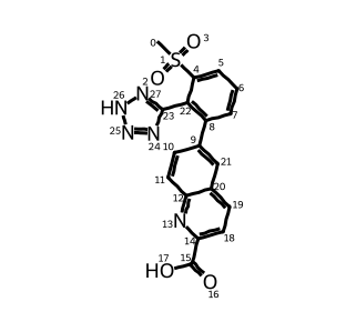 CS(=O)(=O)c1cccc(-c2ccc3nc(C(=O)O)ccc3c2)c1-c1nn[nH]n1